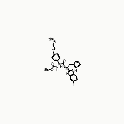 CC(C)(C)OCCOc1ccc([C@@H](NC(=O)OC(C)(C)C)C(=O)N[C@@H](Cc2ccccc2)c2nc3cc(I)ccc3[nH]2)cc1